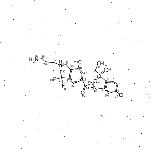 CCS(=O)(=O)c1ccc(Cl)cc1CNC(=O)c1cc(Cl)c(CNCCCN)c(C(F)(F)F)c1